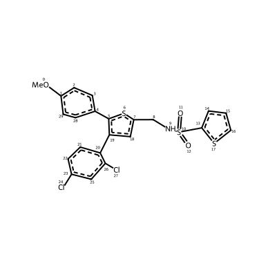 COc1ccc(-c2sc(CNS(=O)(=O)c3cccs3)cc2-c2ccc(Cl)cc2Cl)cc1